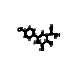 O=C1NC(c2ccc(Cl)cc2)=NC(C(=O)O)C1=O